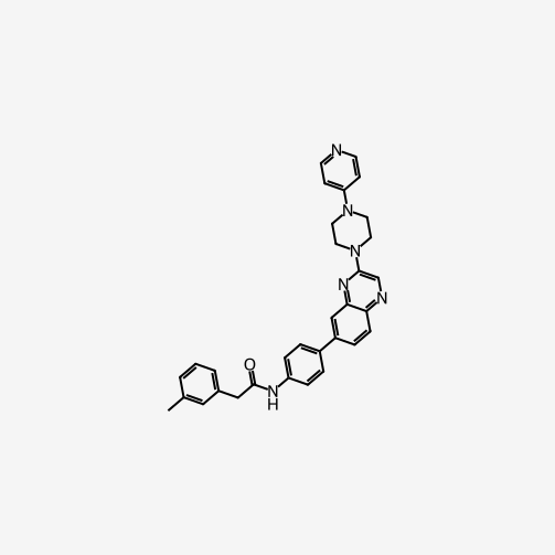 Cc1cccc(CC(=O)Nc2ccc(-c3ccc4ncc(N5CCN(c6ccncc6)CC5)nc4c3)cc2)c1